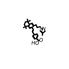 Cc1cnn(CCCc2cc3c(cc2/C=C/c2ccc(C(=O)O)cc2)C(C)(C)CCC3(C)C)c1